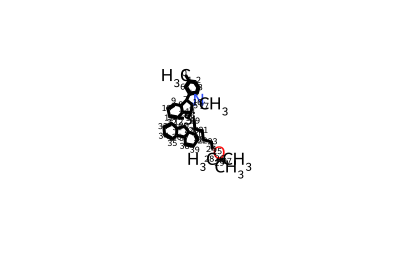 Cc1ccc2c(c1)C1C3C=CC=C4C3C(C1N2C)[Si]4(CCCCCCOC(C)(C)C)C1C2C=CC=CC2C2C=CC=CC21